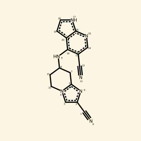 N#Cc1cn2c(n1)CC(Nc1c(C#N)cnc3[nH]ccc13)CC2